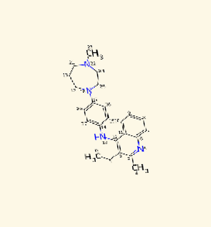 CCc1c(C)nc2ccccc2c1Nc1ccc(N2CCCN(C)CC2)cc1